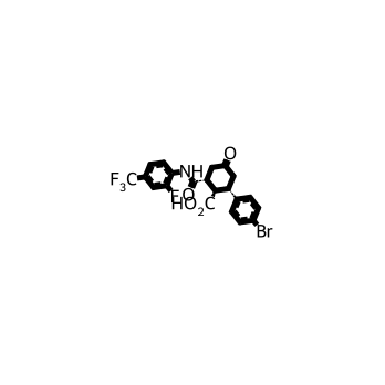 O=C1C[C@H](c2ccc(Br)cc2)[C@@H](C(=O)O)[C@H](C(=O)Nc2ccc(C(F)(F)F)cc2F)C1